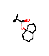 C=C(C)C(=O)OC12CCCCC1CCC2